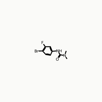 CN(C)C(=O)Nc1ccc(Br)c(F)c1